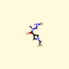 CCNCN(C)C(=O)C1CN(CC(C)C)C1